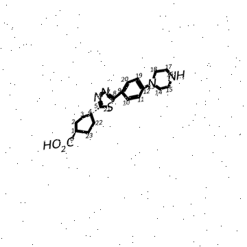 O=C(O)[C@H]1CC[C@H](c2nnc(-c3ccc(N4CCNCC4)cc3)s2)CC1